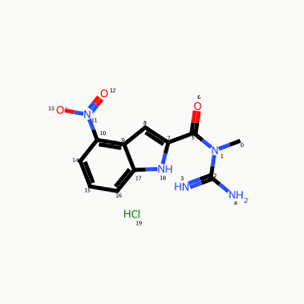 CN(C(=N)N)C(=O)c1cc2c([N+](=O)[O-])cccc2[nH]1.Cl